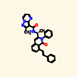 Cc1nn2cccnc2c1C(=O)N[C@H](C)c1cc2cccc(/C=C/c3ccccc3)c2c(=O)n1-c1ccccc1